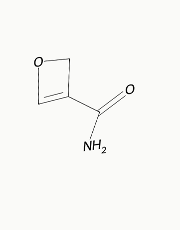 NC(=O)C1=COC1